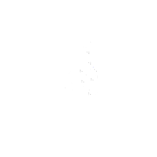 C=CC(=O)N1CCN(/C(=N/C)c2nc(Cl)c(-c3ccccc3F)nc2N(C=O)c2c(C)ccnc2C(C)C)C(C)C1